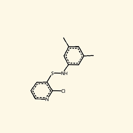 Cc1cc(C)cc(NSc2cccnc2Cl)c1